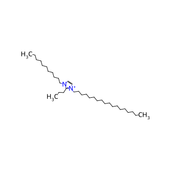 CCCCCCCCCCCCCCCCCC[n+]1ccn(CCCCCCCCCCC)c1CCC